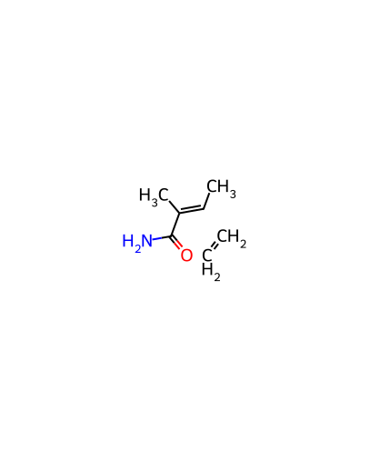 C/C=C(\C)C(N)=O.C=C